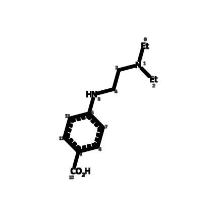 CCN(CC)CCNc1ccc(C(=O)O)cc1